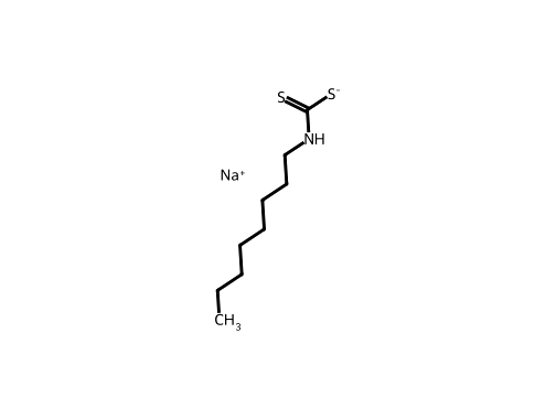 CCCCCCCCNC(=S)[S-].[Na+]